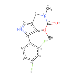 CN(Cc1c[nH]c(-c2ccc(F)cc2F)c1)C(=O)OC(C)(C)C